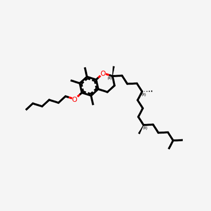 CCCCCCOc1c(C)c(C)c2c(c1C)CC[C@@](C)(CCC[C@H](C)CCC[C@H](C)CCCC(C)C)O2